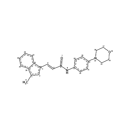 Cc1cn(/C=C/C(=O)Nc2ccc(N3CCOCC3)cc2)c2ccccc12